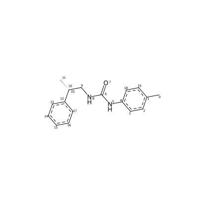 Cc1ccc(NC(=O)NC[C@@H](C)c2ccccc2)cc1